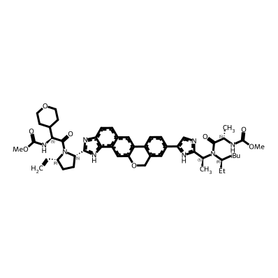 C=C[C@H]1CC[C@@H](c2nc3ccc4cc5c(cc4c3[nH]2)OCc2cc(-c3cnc([C@H](C)N(C(=O)[C@H](C)NC(=O)OC)[C@H](CC)C(C)CC)[nH]3)ccc2-5)N1C(=O)[C@@H](NC(=O)OC)C1CCOCC1